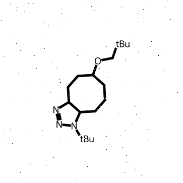 CC(C)(C)COC1CCCC2C(CC1)N=NN2C(C)(C)C